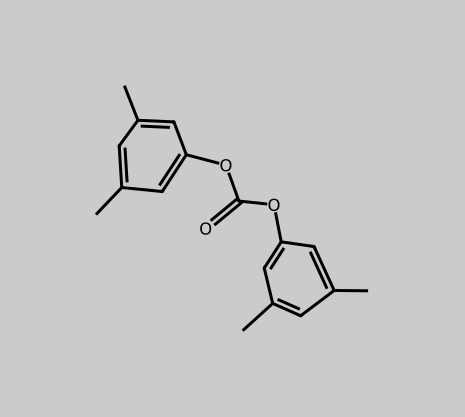 Cc1cc(C)cc(OC(=O)Oc2cc(C)cc(C)c2)c1